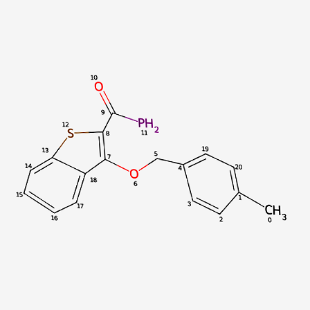 Cc1ccc(COc2c(C(=O)P)sc3ccccc23)cc1